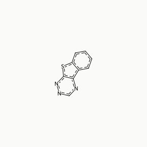 c1ccc2c(c1)sc1nncnc12